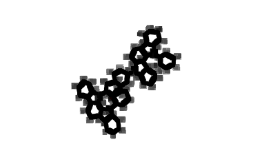 C1=Cc2c(n(-c3ccccc3)c3c2ccc2c4ccccc4n(-c4ccc5cc(-n6c7ccccc7c7c6ccc6c8ccccc8n(-c8ccccc8)c67)ccc5c4)c23)CC1